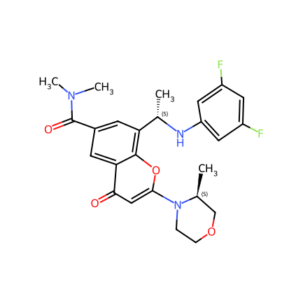 C[C@H](Nc1cc(F)cc(F)c1)c1cc(C(=O)N(C)C)cc2c(=O)cc(N3CCOC[C@@H]3C)oc12